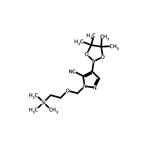 CC1(C)OB(c2cnn(COCC[Si](C)(C)C)c2C#N)OC1(C)C